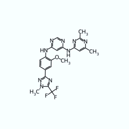 COc1cc(-c2nc(C(F)(F)F)n(C)n2)ccc1Nc1cc(Nc2cc(C)nc(C)n2)ncn1